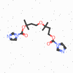 CC(C)(CCOC(=O)n1ccnc1)OCCC(C)(C)OC(=O)n1ccnc1